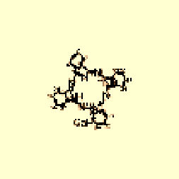 [GaH3].c1ccc2c(c1)-c1nc-2nc2[nH]c(nc3nc(nc4[nH]c(n1)c1ccccc41)-c1ccccc1-3)c1ccccc21